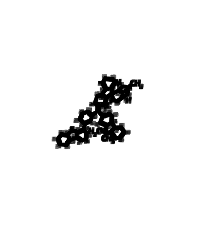 C[C@H]1C[C@@H]2C[C@H](C1)C1(c3ccccc3-c3ccc(N(c4cccc(-c5cccc6c5sc5ccccc56)c4)c4ccc5c(c4)C(C)(C)c4ccccc4-5)cc31)[C@H](C)C2